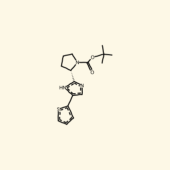 CC(C)(C)OC(=O)N1CCC[C@H]1c1ncc(-c2cccs2)[nH]1